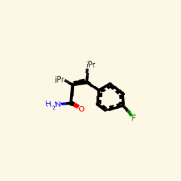 CC(C)C(C(N)=O)=C(c1ccc(F)cc1)C(C)C